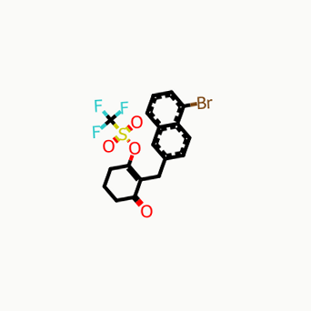 O=C1CCCC(OS(=O)(=O)C(F)(F)F)=C1Cc1ccc2c(Br)cccc2c1